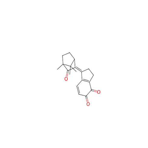 CC12CCC(C(=C3CCC4=C3C=CC(=O)C4=O)C1=O)C2(C)C